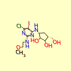 COCCNc1nc(Cl)c(I)c(N[C@@H]2C[C@H](CO)[C@@H](O)[C@H]2O)n1